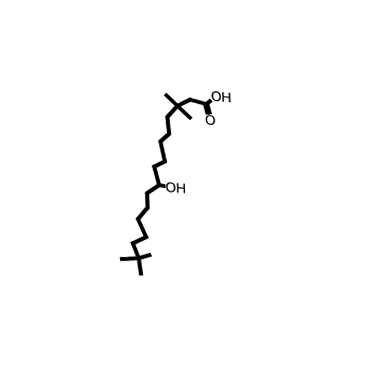 CC(C)(C)CCCCCC(O)CCCCCC(C)(C)CC(=O)O